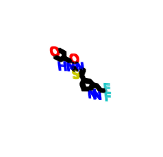 O=C(Nc1ncc(-c2ccc3nnc(C(F)F)cc3c2)s1)C1CCOCC1